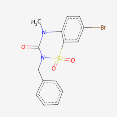 CN1C(=O)N(Cc2ccccc2)S(=O)(=O)c2cc(Br)ccc21